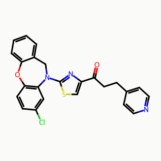 O=C(CCc1ccncc1)c1csc(N2Cc3ccccc3Oc3ccc(Cl)cc32)n1